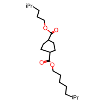 CC(C)CCCCCOC(=O)C1CCC(C(=O)OCCCC(C)C)CC1